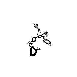 CN(c1ccc(-c2cc3c(N4CCOCC4)ncnc3n2COCC[Si](C)(C)C)cc1)S(=O)(=O)Cc1cccc(Br)c1